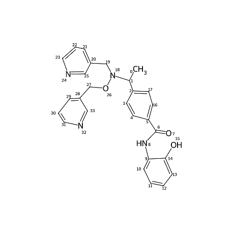 CC(c1ccc(C(=O)Nc2ccccc2O)cc1)N(Cc1cccnc1)OCc1cccnc1